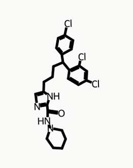 O=C(NN1CCCCC1)c1ncc(CCCC(c2ccc(Cl)cc2)c2ccc(Cl)cc2Cl)[nH]1